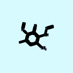 C=NNc1c(N)cc(C)n(N=C)c1=O